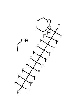 CCO.FC(F)(F)C(F)(F)C(F)(F)C(F)(F)C(F)(F)C(F)(F)C(F)(F)C(F)(F)C(F)(F)C(F)(F)[SiH]1CCCCO1